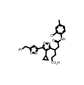 Cc1ccc(NC(=O)CC(CCC(=O)O)c2noc(-c3cc(CC(C)C)on3)c2C2CC2)c(Cl)c1